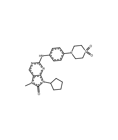 Cn1c(=O)n(C2CCCC2)c2nc(Nc3ccc(N4CCS(=O)(=O)CC4)cc3)ncc21